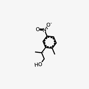 C[C](CO)c1cc([N+](=O)[O-])ccc1C